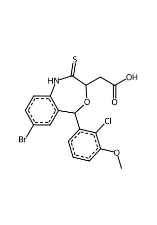 COc1cccc(C2OC(CC(=O)O)C(=S)Nc3ccc(Br)cc32)c1Cl